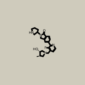 C[C@@H]1CN(Cc2ccnc(-c3ccc4c(c3)CN(C3CCCNC3)C4=O)c2F)C[C@H]1O